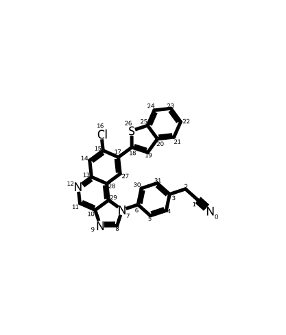 N#CCc1ccc(-n2cnc3cnc4cc(Cl)c(-c5cc6ccccc6s5)cc4c32)cc1